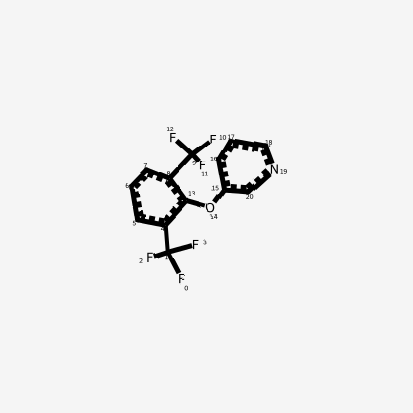 FC(F)(F)c1cccc(C(F)(F)F)c1Oc1cc[c]nc1